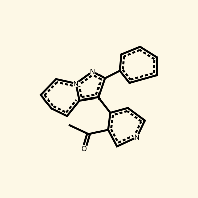 CC(=O)c1cnccc1-c1c(-c2ccccc2)nn2ccccc12